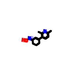 Cc1ccc(C2=C/C(=N/O)CCC2)c(C)n1